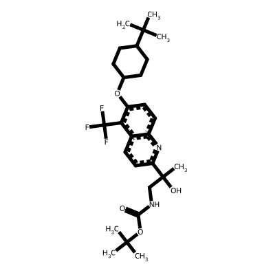 CC(C)(C)OC(=O)NCC(C)(O)c1ccc2c(C(F)(F)F)c(OC3CCC(C(C)(C)C)CC3)ccc2n1